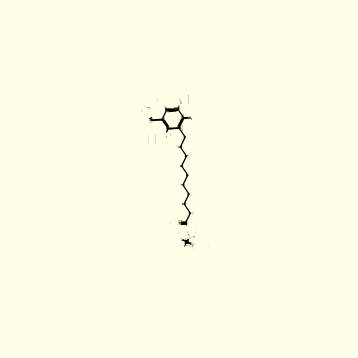 Cc1c(Cl)c(O)c(CCCCCCCCCC(=O)OC(C)(C)C)c(O)c1C=O